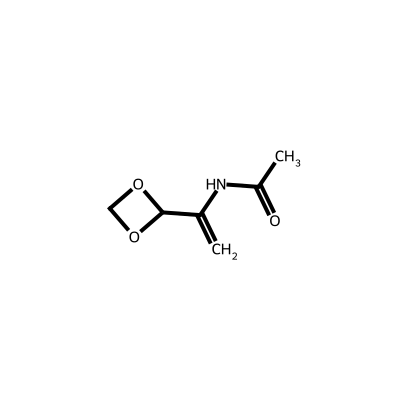 C=C(NC(C)=O)C1OCO1